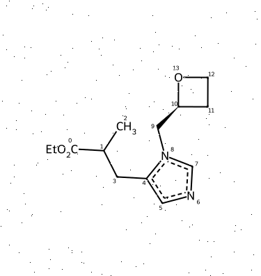 CCOC(=O)C(C)Cc1cncn1C[C@@H]1CCO1